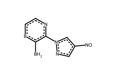 Bc1bccnc1-n1cc(N=O)cn1